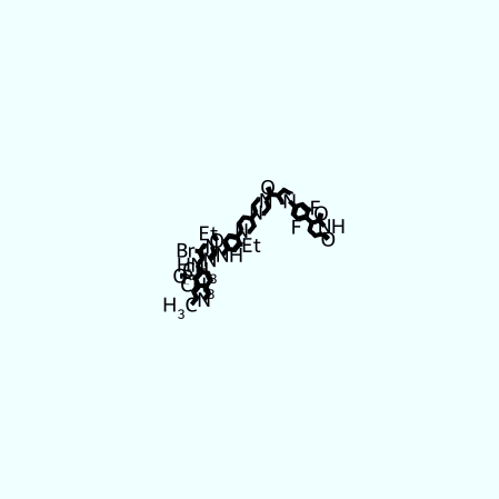 CCOc1cc(N2CCC(N3CCN(C(=O)C4CCN(c5cc(F)c(C6CCC(=O)NC6=O)c(F)c5)C4)CC3)CC2)c(CC)cc1Nc1ncc(Br)c(Nc2ccc3cnc(C)cc3c2P(C)(C)=O)n1